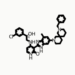 Cc1cc(N2CCCC3(CCCN(Cc4ccccc4)C3)C2)cc2[nH]c(-c3c(NC[C@@H](O)c4cccc(Cl)c4)cc[nH]c3=O)nc12